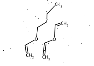 C=COC=C.C=COCCCC